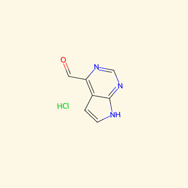 Cl.O=Cc1ncnc2[nH]ccc12